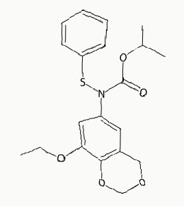 CCOc1cc(N(Sc2ccccc2)C(=O)OC(C)C)cc2c1OCOC2